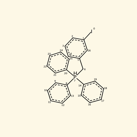 Ic1cccc(C[PH](c2ccccc2)(c2ccccc2)c2ccccc2)c1